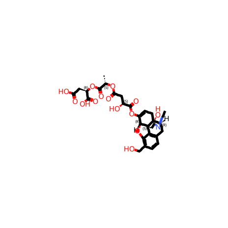 C[C@H](OC(=O)C[C@H](O)C(=O)OC1=CC[C@@]2(O)[C@H]3Cc4ccc(CO)c5c4[C@@]2(CCN3C)[C@H]1O5)C(=O)O[C@H](CC(=O)O)C(=O)O